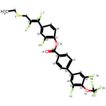 CCSC/C(F)=C(\F)c1ccc(OC(=O)c2ccc(-c3cc(F)c(OC(F)(F)F)c(F)c3)cc2)c(F)c1